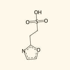 O=S(=O)(O)CCc1ncco1